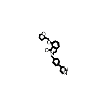 O=C1c2c(cccc2OCC2CCCO2)CN1Cc1ccc(-c2ccnnc2)cc1